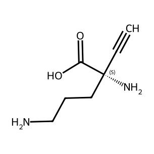 C#C[C@@](N)(CCCN)C(=O)O